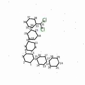 C1CCCCC1.C1CCCCC1.C1CCCCC1.C1CCCCC1.C1CCCCC1.ClC(Cl)C1CCCCC1